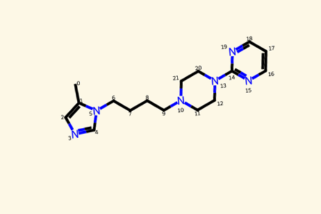 Cc1cncn1CCCCN1CCN(c2ncccn2)CC1